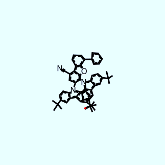 CC(C)(C)c1ccc2c(c1)c1cc(C(C)(C)C)ccc1n2-c1cc(C#N)c2c(oc3c(-c4ccccc4)cccc32)c1-n1c2ccc(C(C)(C)C)cc2c2cc(C(C)(C)C)ccc21